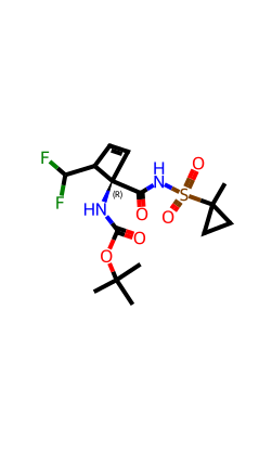 CC(C)(C)OC(=O)N[C@]1(C(=O)NS(=O)(=O)C2(C)CC2)C=CC1C(F)F